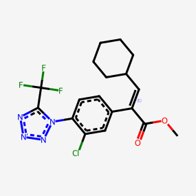 COC(=O)/C(=C/C1CCCCC1)c1ccc(-n2nnnc2C(F)(F)F)c(Cl)c1